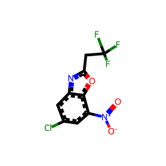 O=[N+]([O-])c1cc(Cl)cc2nc(CC(F)(F)F)oc12